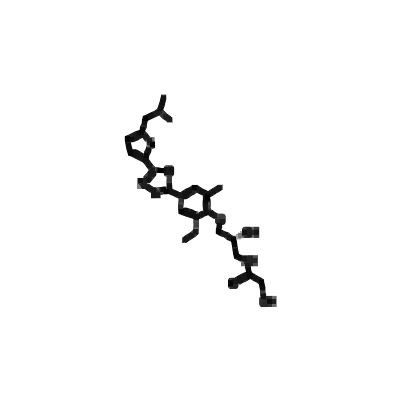 CCc1cc(-c2nnc(-c3ccc(CC(C)C)s3)o2)cc(C)c1OC[C@H](O)CNC(=O)CO